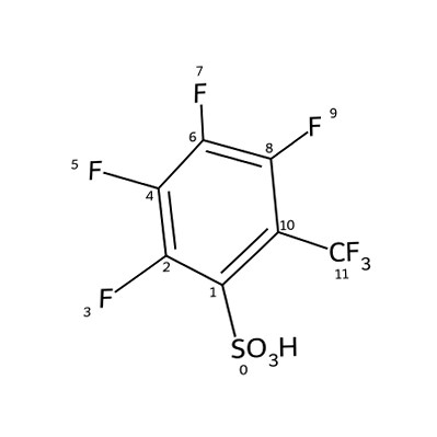 O=S(=O)(O)c1c(F)c(F)c(F)c(F)c1C(F)(F)F